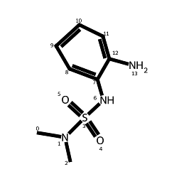 CN(C)S(=O)(=O)Nc1ccccc1N